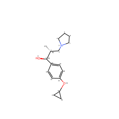 C[C@H](CN1CCCC1)[C@H](O)c1ccc(OC2CC2)cc1